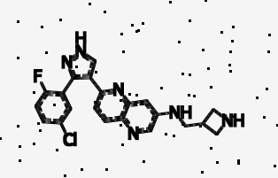 Fc1ccc(Cl)cc1-c1n[nH]cc1-c1ccc2ncc(NCC3CNC3)cc2n1